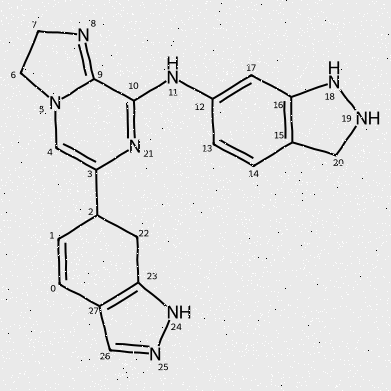 C1=CC(C2=CN3CCN=C3C(Nc3ccc4c(c3)NNC4)=N2)Cc2[nH]ncc21